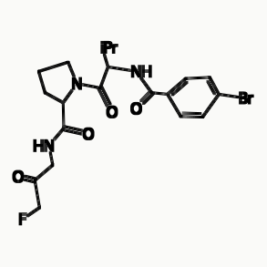 CC(C)C(NC(=O)c1ccc(Br)cc1)C(=O)N1CCCC1C(=O)NCC(=O)CF